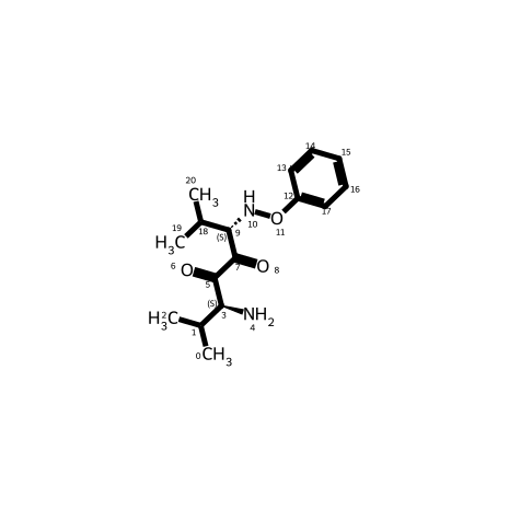 CC(C)[C@H](N)C(=O)C(=O)[C@@H](NOc1[c]cccc1)C(C)C